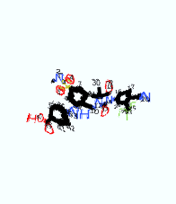 CN(C)S(=O)(=O)c1ccc(CN2C(=O)N(c3ccc(C#N)c(C(F)(F)F)c3)C(=O)C2(C)C)c(Nc2ccc(C(=O)O)cc2)c1